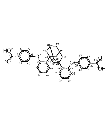 O=C(O)c1ccc(Oc2ccccc2C23CC4CC(C2)CC(c2ccccc2Oc2ccc(C(=O)O)cc2)(C4)C3)cc1